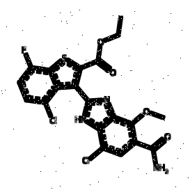 CCOC(=O)c1sc2c(F)ccc(Cl)c2c1-c1nc2c(OC)c(C(N)=O)cc(Cl)c2[nH]1